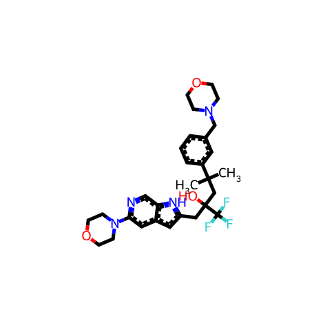 CC(C)(CC(O)(Cc1cc2cc(N3CCOCC3)ncc2[nH]1)C(F)(F)F)c1cccc(CN2CCOCC2)c1